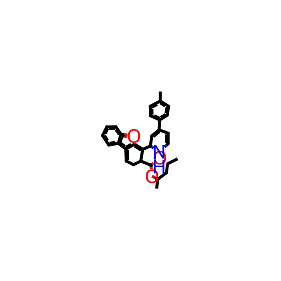 Cc1ccc(C2=CC(C3=c4oc5ccccc5c4=CCC3C3OC(C)CC(C)O3)NC=C2)cc1